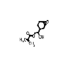 C=C(C)C(=O)OCC(O)C1CCC2OC2C1